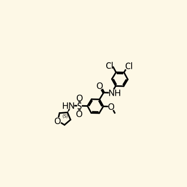 COc1ccc(S(=O)(=O)N[C@H]2CCOC2)cc1C(=O)Nc1ccc(Cl)c(Cl)c1